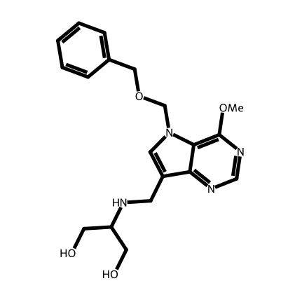 COc1ncnc2c(CNC(CO)CO)cn(COCc3ccccc3)c12